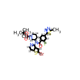 Cc1nnc(-c2ccc(C(=O)N(c3nccc4sc(Br)cc34)[C@@H]3CCCN(C(=O)OC(C)(C)C)C3)c(F)c2)s1